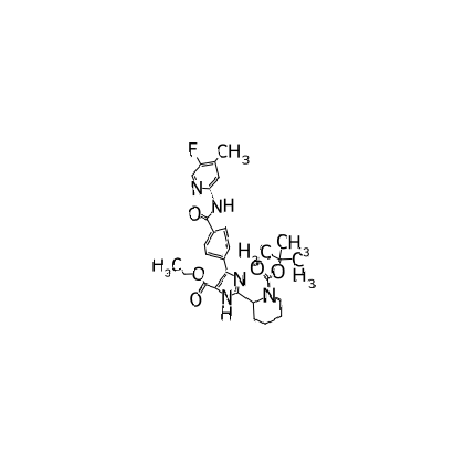 CCOC(=O)c1[nH]c(C2CCCCN2C(=O)OC(C)(C)C)nc1-c1ccc(C(=O)Nc2cc(C)c(F)cn2)cc1